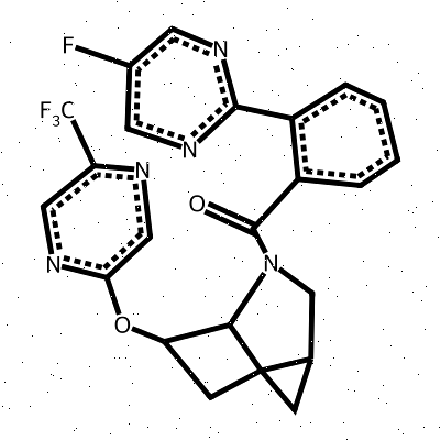 O=C(c1ccccc1-c1ncc(F)cn1)N1CC2CC23CC(Oc2cnc(C(F)(F)F)cn2)C13